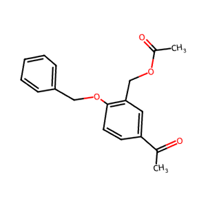 CC(=O)OCc1cc(C(C)=O)ccc1OCc1ccccc1